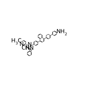 Cc1ccc(-c2nc(-c3ccccc3)nc(-c3ccc(-c4ccc(C5=CC=C(c6ccc(N)cc6)CC5)c5ccccc45)cc3)n2)c(C)n1